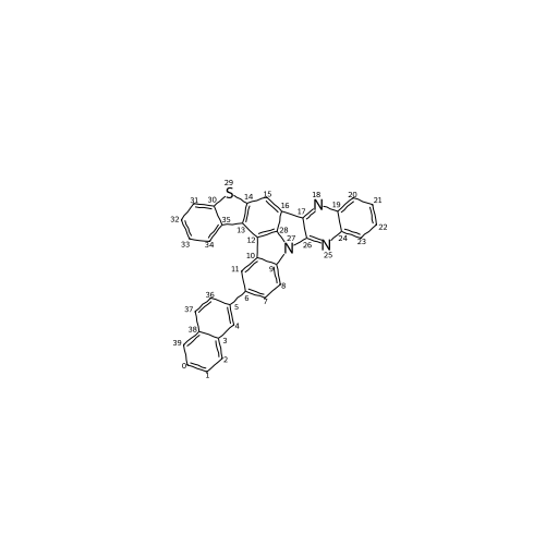 c1ccc2cc(-c3ccc4c(c3)c3c5c(cc6c7nc8ccccc8nc7n4c63)sc3ccccc35)ccc2c1